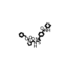 O=C(Nc1ccncc1)c1ccc(-c2csc(NC(=O)C3CCCN3C(=O)OCc3ccccc3)n2)cc1